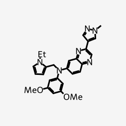 CCn1cccc1CN(c1cc(OC)cc(OC)c1)c1ccc2ncc(-c3cnn(C)c3)nc2c1